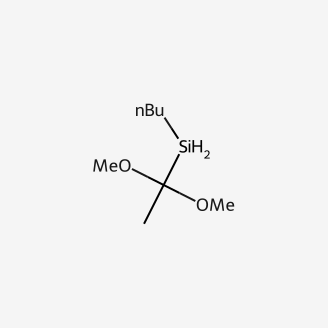 CCCC[SiH2]C(C)(OC)OC